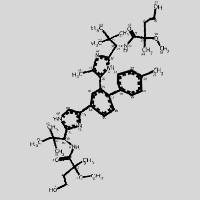 COC(C)(CCO)C(=O)N[C@H](c1nc(-c2ccc(-c3ccc(C)cc3)c(-c3[nH]c([C@@H](NC(=O)C(C)(CCO)OC)C(C)(C)C)nc3C)c2)c[nH]1)C(C)(C)C